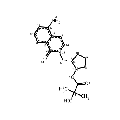 CC(C)(C)C(=O)ON1CCC[C@H]1Cn1ccc2c(N)cccc2c1=O